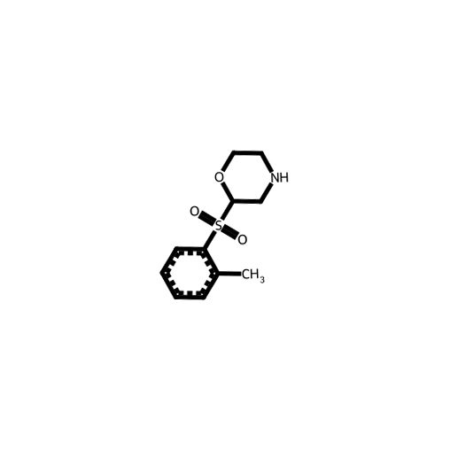 Cc1ccccc1S(=O)(=O)C1CNCCO1